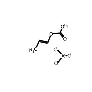 CC=COC(=O)O.[Cl][Al]([Cl])[Cl]